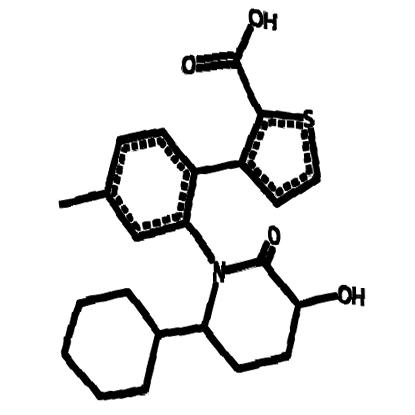 Cc1ccc(-c2ccsc2C(=O)O)c(N2C(=O)C(O)CCC2C2CCCCC2)c1